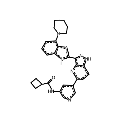 O=C(Nc1cncc(-c2ccc3[nH]nc(-c4nc5c(N6CCCCC6)cccc5[nH]4)c3n2)c1)C1CCC1